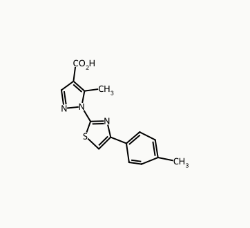 Cc1ccc(-c2csc(-n3ncc(C(=O)O)c3C)n2)cc1